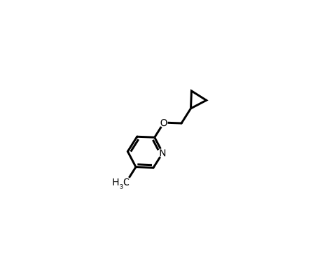 Cc1ccc(OCC2CC2)nc1